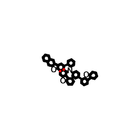 c1ccc(N(c2ccc(-c3cccc4c3oc3ccccc34)cc2)c2cccc3oc4ccccc4c23)c(-c2ccc3oc4cc5ccccc5cc4c3c2)c1